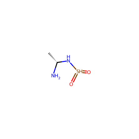 C[C@@H](N)N[SH](=O)=O